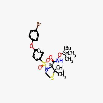 CC1(C)SCCN(S(=O)(=O)c2ccc(Oc3ccc(Br)cc3)cc2)[C@H]1C(=O)NO[Si](C)(C)C(C)(C)C